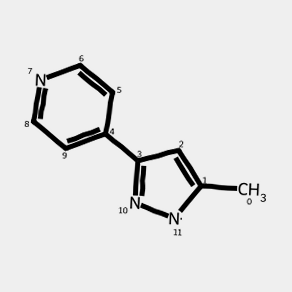 CC1=CC(c2ccncc2)=N[N]1